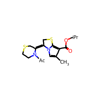 CC(=O)N1CCSCC1=C1CSc2c(C(=O)OC(C)C)c(C)cn21